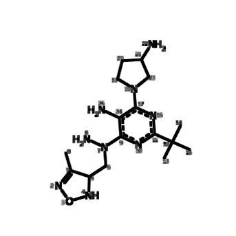 CC1=NONC1CN(N)c1nc(C(C)(C)C)nc(N2CCC(N)C2)c1N